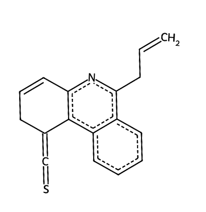 C=CCc1nc2c(c3ccccc13)C(=C=S)CC=C2